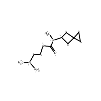 CN(N)CCOC(=O)N(C)C1CC2(CC2)C1